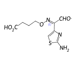 Nc1nc(/C([C]=O)=N\OCCCC(=O)O)cs1